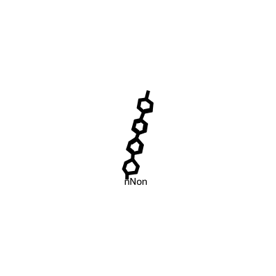 CCCCCCCCCC1CCC(c2ccc(-c3ccc(C4=CCC(C)CC4)cc3)cc2)CC1